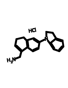 Cl.NCC1=CCCc2cc(N3CCc4ccccc43)ccc21